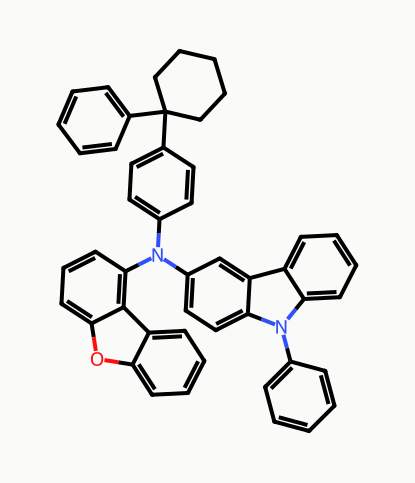 c1ccc(-n2c3ccccc3c3cc(N(c4ccc(C5(c6ccccc6)CCCCC5)cc4)c4cccc5oc6ccccc6c45)ccc32)cc1